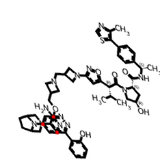 Cc1ncsc1-c1ccc([C@H](C)NC(=O)[C@@H]2C[C@@H](O)CN2C(=O)[C@@H](c2cc(N3CC(CN4CC(COc5cc(N6C7CCC6CN(c6cc(-c8ccccc8O)nnc6N)C7)ccn5)C4)C3)no2)C(C)C)cc1